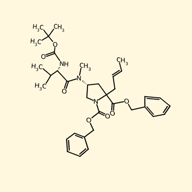 CC=CCC1(C(=O)OCc2ccccc2)C[C@@H](N(C)C(=O)[C@@H](NC(=O)OC(C)(C)C)C(C)C)CN1C(=O)OCc1ccccc1